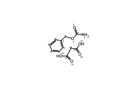 NC(=O)OCc1ccccc1.O=C(O)CC(=O)O